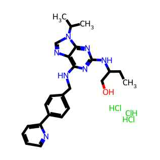 CCC(CO)Nc1nc(NCc2ccc(-c3ccccn3)cc2)c2ncn(C(C)C)c2n1.Cl.Cl.Cl